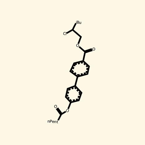 CCCCCC(=O)Oc1ccc(-c2ccc(C(=O)OCC(Cl)C(C)CC)cc2)cc1